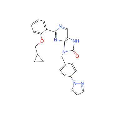 O=c1[nH]c2cnc(-c3ccccc3OCC3CC3)nc2n1Cc1ccc(-n2cccn2)cc1